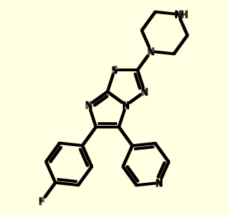 Fc1ccc(-c2nc3sc(N4CCNCC4)nn3c2-c2ccncc2)cc1